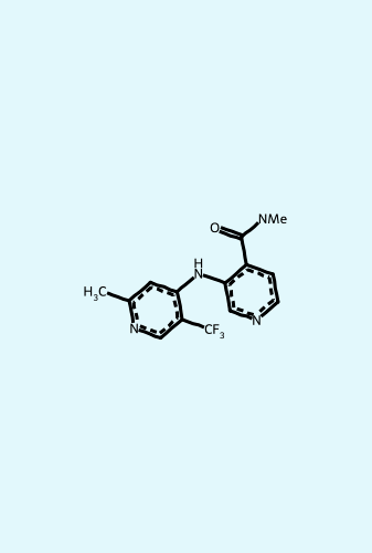 CNC(=O)c1ccncc1Nc1cc(C)ncc1C(F)(F)F